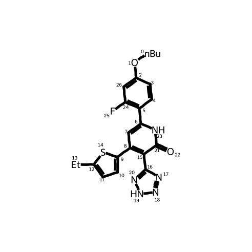 CCCCOc1ccc(-c2cc(-c3ccc(CC)s3)c(-c3nn[nH]n3)c(=O)[nH]2)c(F)c1